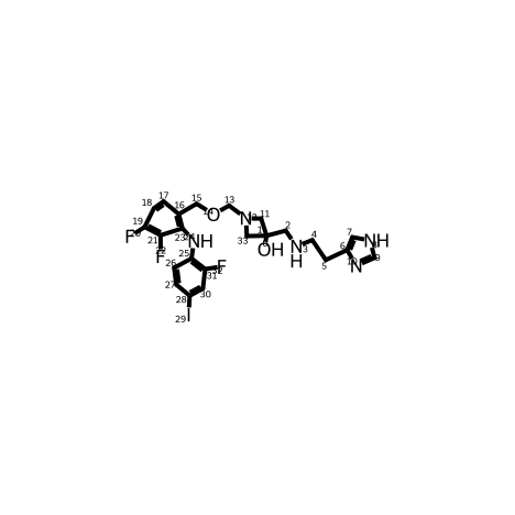 OC1(CNCCc2c[nH]cn2)CN(COCc2ccc(F)c(F)c2Nc2ccc(I)cc2F)C1